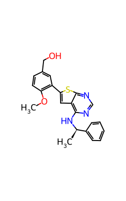 COc1ccc(CO)cc1-c1cc2c(N[C@H](C)c3ccccc3)ncnc2s1